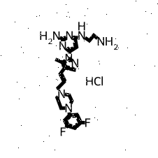 Cc1c(C=CCN2CCN(c3cc(F)cc(F)c3)CC2)cnn1-c1cc(NCCN)nc(N)n1.Cl